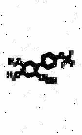 CC1CN(c2ccc(OC(F)(F)F)cc2)C(C)CN1C.Cl